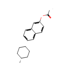 CCCCCC(=O)Oc1ccc2cc([C@H]3CC[C@H](CC)CC3)ccc2c1